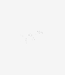 CC(C)(N)C(=O)OC1C(C)(C)CCC1(C)C